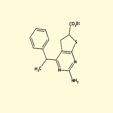 CCOC(=O)C1Cc2c(nc(N)nc2C(C)c2ccccc2)S1